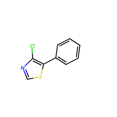 Clc1n[c]sc1-c1ccccc1